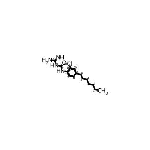 CCCCCCCc1ccc(NC(=O)NC(=N)N)c(Cl)c1